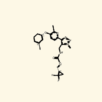 Cc1nc(-c2nnn(C)c2CNC(=O)OC[C@@H]2CC2(F)F)ccc1O[C@H]1CCC[C@H](C)C1